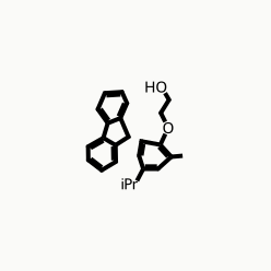 Cc1cc(C(C)C)ccc1OCCO.c1ccc2c(c1)Cc1ccccc1-2